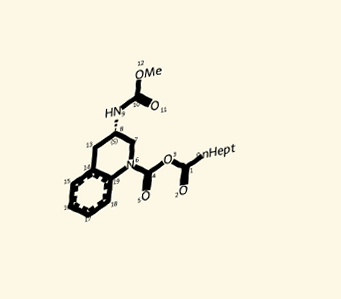 CCCCCCCC(=O)OC(=O)N1C[C@@H](NC(=O)OC)Cc2ccccc21